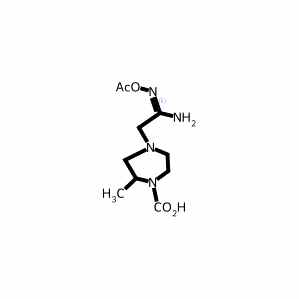 CC(=O)O/N=C(/N)CN1CCN(C(=O)O)C(C)C1